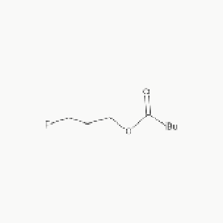 CCC(C)C(=O)OCCCF